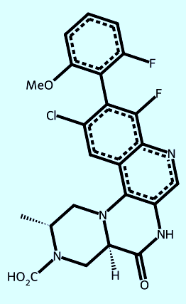 COc1cccc(F)c1-c1c(Cl)cc2c3c(cnc2c1F)NC(=O)[C@H]1CN(C(=O)O)[C@H](C)CN31